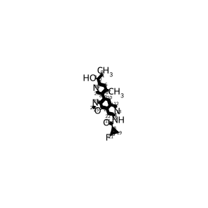 CC[C@@H](O)c1cc(C)c(-c2cc3cnc(NC(=O)[C@H]4C[C@H]4F)cc3c3ocnc23)cn1